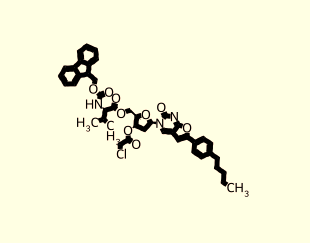 CCCCCc1ccc(-c2cc3cn([C@H]4C[C@H](OC(=O)CCl)[C@@H](COC(=O)[C@@H](NC(=O)OCC5c6ccccc6-c6ccccc65)C(C)C)O4)c(=O)nc3o2)cc1